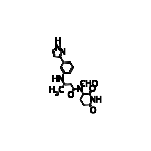 C/C(=C\C(=O)N(C=O)C1CCC(=O)NC1=O)Nc1cccc(-c2cc[nH]n2)c1